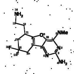 CNc1nc(N)nc2c3c(oc12)C(CCN)CC(F)(F)C3